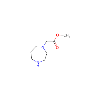 COC(=O)CN1CCCNCC1